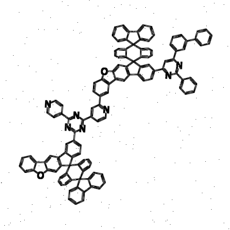 c1ccc(-c2cccc(-c3cc(-c4ccc5c(c4)C4(c6cc7oc8ccc(-c9cc(-c%10nc(-c%11ccncc%11)nc(-c%11ccc%12c(c%11)-c%11cc%13c(cc%11C%12%11c%12ccccc%12C%12(c%14ccccc%14-c%14ccccc%14%12)c%12ccccc%12%11)oc%11ccccc%11%13)n%10)ccn9)cc8c7cc6-5)c5ccccc5C5(c6ccccc6-c6ccccc65)c5ccccc54)nc(-c4ccccc4)n3)c2)cc1